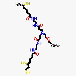 CCCC(S)CCCCC(=O)NCCNC(=O)CCN(CCOCCOC)CCC(=O)NCCNC(=O)CCCCC(S)CCS